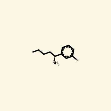 CCCC[C@H](N)c1cccc(F)c1